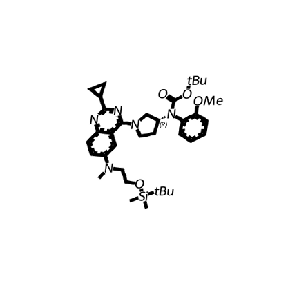 COc1ccccc1N(C(=O)OC(C)(C)C)[C@@H]1CCN(c2nc(C3CC3)nc3ccc(N(C)CCO[Si](C)(C)C(C)(C)C)cc23)C1